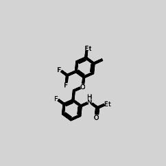 CCC(=O)Nc1cccc(F)c1COc1cc(C)c(CC)cc1C(F)F